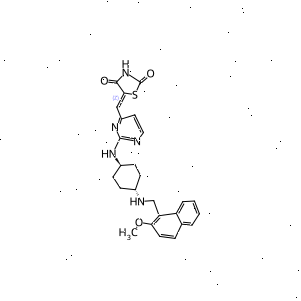 COc1ccc2ccccc2c1CN[C@H]1CC[C@H](Nc2nccc(/C=C3\SC(=O)NC3=O)n2)CC1